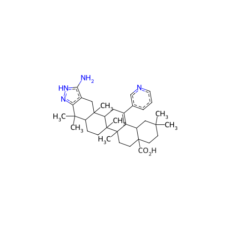 CC1(C)CCC2(C(=O)O)CCC3(C)C(=C(c4cccnc4)CC4C5(C)Cc6c(n[nH]c6N)C(C)(C)C5CCC43C)C2C1